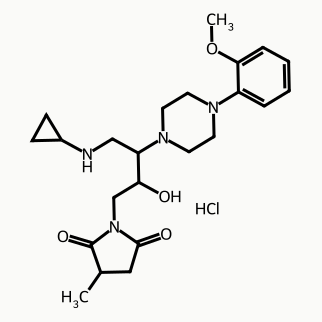 COc1ccccc1N1CCN(C(CNC2CC2)C(O)CN2C(=O)CC(C)C2=O)CC1.Cl